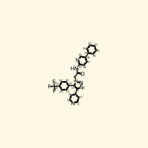 O=C(Cn1nnc(-c2ccncc2)c1-c1ccc(C(F)(F)F)cc1)Nc1ccc(-c2ccccc2)cn1